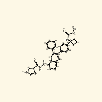 CN1C=NC(C(=O)NNc2nccc3nc(-c4ccc(C5(NC(=O)OC(C)(C)C)CCC5)cc4)c(-c4ccccc4)cc23)C1